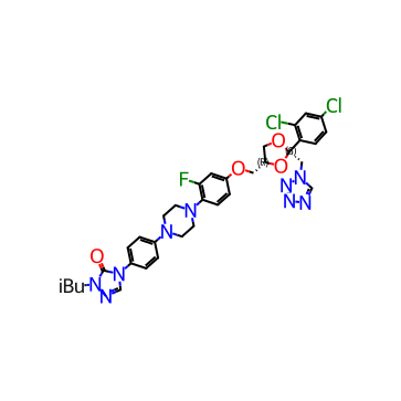 CCC(C)n1ncn(-c2ccc(N3CCN(c4ccc(OC[C@@H]5CO[C@@](Cn6cnnn6)(c6ccc(Cl)cc6Cl)O5)cc4F)CC3)cc2)c1=O